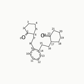 O=C1CCCCC1CCc1ccccc1CCC1CCCCC1=O